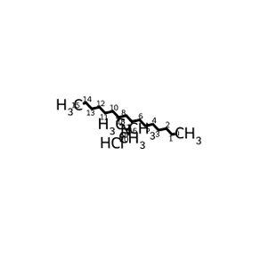 CCCCCCCCCCCCCCCC.CN(C)C.Cl